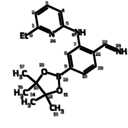 CCc1cccc(Nc2cc(B3OC(C)(C)C(C)(C)O3)ccc2C=N)n1